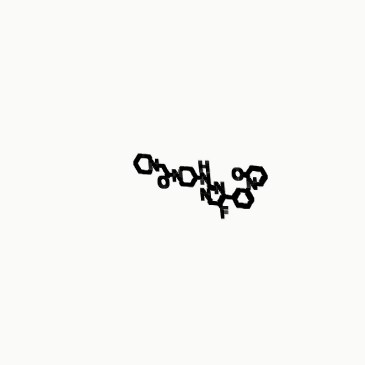 O=C(CN1CCCCC1)N1CCC(Nc2ncc(F)c(-c3cccc(-n4ccccc4=O)c3)n2)CC1